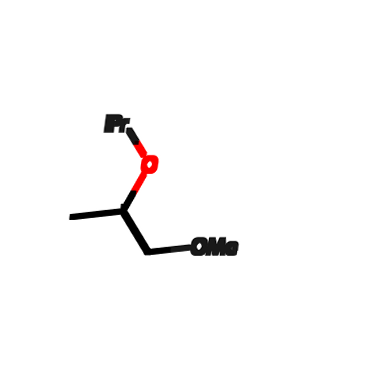 COC[C](C)OC(C)C